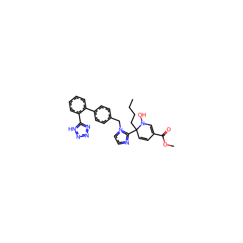 CCCCC1(c2nccn2Cc2ccc(-c3ccccc3-c3nnn[nH]3)cc2)C=CC(C(=O)OC)=CN1O